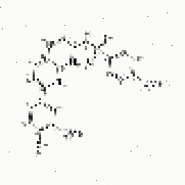 COc1ccc(S(=O)(=O)Nc2cnc3ccc(-c4ccc(O)c(OC)c4)nc3n2)cc1